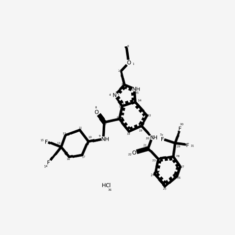 COCc1nc2c(C(=O)NC3CCC(F)(F)CC3)cc(NC(=O)c3ccccc3C(F)(F)F)cc2[nH]1.Cl